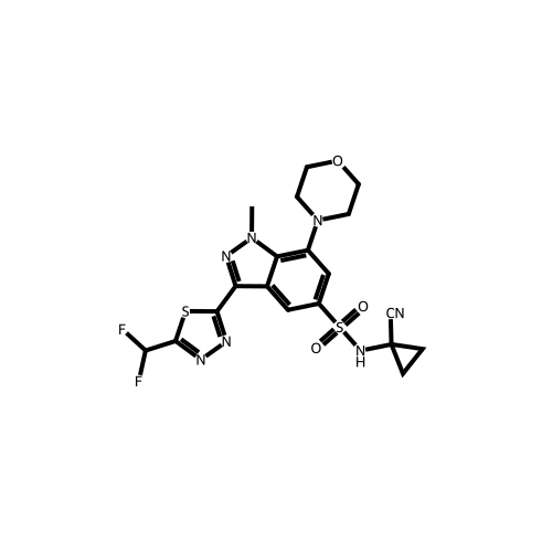 Cn1nc(-c2nnc(C(F)F)s2)c2cc(S(=O)(=O)NC3(C#N)CC3)cc(N3CCOCC3)c21